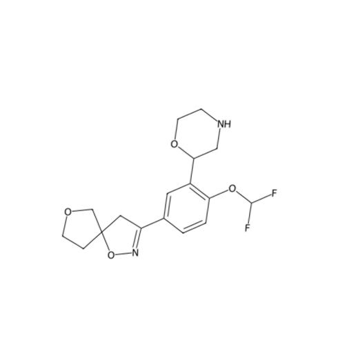 FC(F)Oc1ccc(C2=NOC3(CCOC3)C2)cc1C1CNCCO1